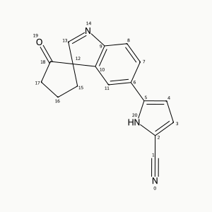 N#Cc1ccc(-c2ccc3c(c2)C2(C=N3)CCCC2=O)[nH]1